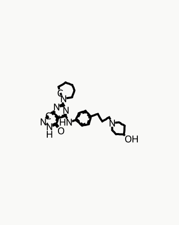 O=c1[nH]ncc2nc(N3CCCCCC3)nc(Nc3ccc(CCCN4CCC(O)CC4)cc3)c12